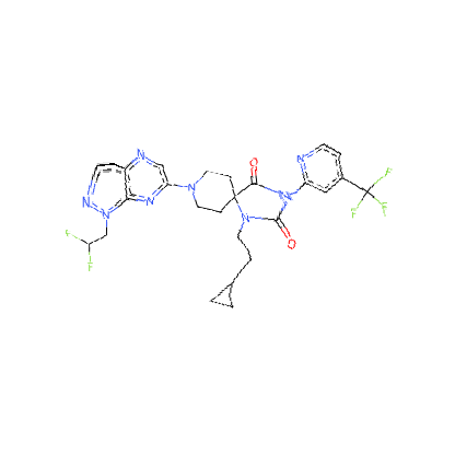 O=C1N(c2cc(C(F)(F)F)ccn2)C(=O)C2(CCN(c3cnc4cnn(CC(F)F)c4n3)CC2)N1CCC1CC1